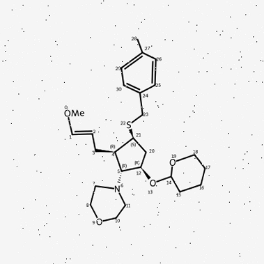 COC=CC[C@@H]1[C@@H](N2CCOCC2)[C@H](OC2CCCCO2)C[C@@H]1SCc1ccc(C)cc1